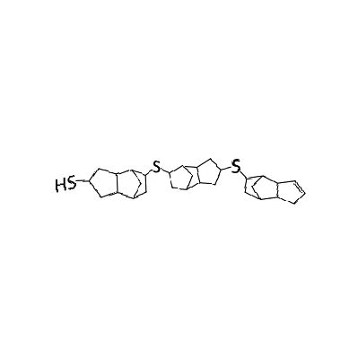 SC1CC2C3CC(SC4CC5CC4C4CC(SC6CC7CC6C6C=CCC76)CC54)C(C3)C2C1